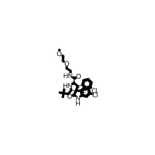 COCCOCCNC(=O)[C@@H]1NC(CC(C)(C)C)[C@]2(C(=O)Nc3cc(Cl)ccc32)[C@H]1c1cccc(Cl)c1F